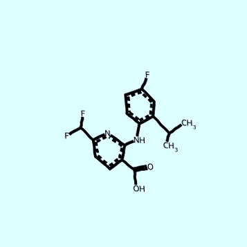 CC(C)c1cc(F)ccc1Nc1nc(C(F)F)ccc1C(=O)O